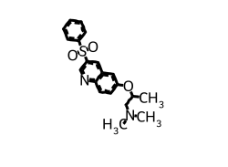 CC(CN(C)C)Oc1ccc2ncc(S(=O)(=O)c3ccccc3)cc2c1